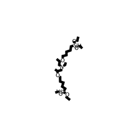 CCO[SiH](CCCCCOC(C)CN(CC)CC(C)OCCCCC[SiH](OCC)OCC)OCC